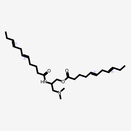 CC/C=C/C/C=C/CCCC(=O)NC(COC(=O)CCC/C=C/C/C=C/CC)CN(C)C